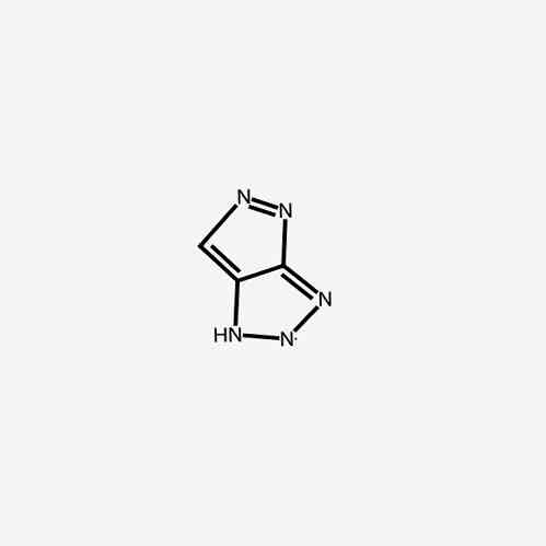 C1=C2N[N]N=C2N=N1